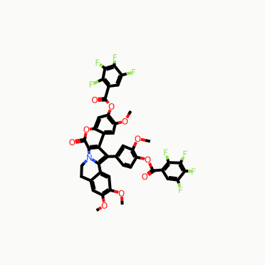 COc1cc2c(cc1OC)-c1c(-c3ccc(OC(=O)c4cc(F)c(F)c(F)c4F)c(OC)c3)c3c4cc(OC)c(OC(=O)c5cc(F)c(F)c(F)c5F)cc4oc(=O)c3n1CC2